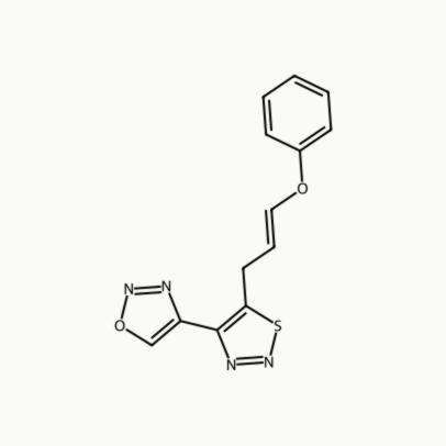 C(=COc1ccccc1)Cc1snnc1-c1conn1